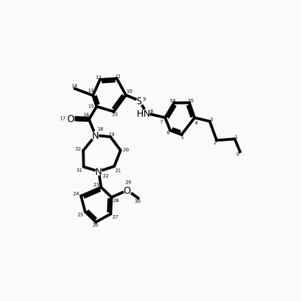 CCCCc1ccc(NSc2ccc(C)c(C(=O)N3CCCN(c4ccccc4OC)CC3)c2)cc1